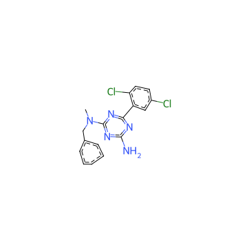 CN(Cc1ccccc1)c1nc(N)nc(-c2cc(Cl)ccc2Cl)n1